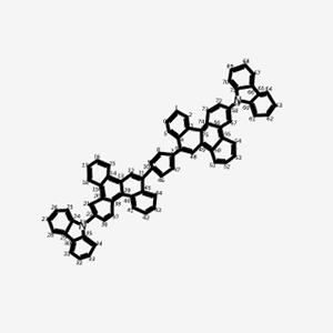 c1ccc2c(c1)c(-c1ccc(-c3cc4c5ccccc5c5cc(-n6c7ccccc7c7ccccc76)ccc5c4c4ccccc34)cc1)cc1c3ccccc3c3cc(-n4c5ccccc5c5ccccc54)ccc3c21